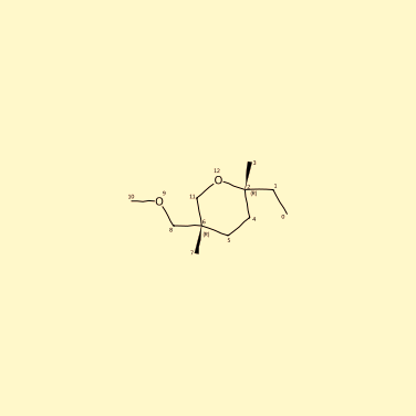 CC[C@]1(C)CC[C@](C)(COC)CO1